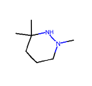 CN1CCCC(C)(C)N1